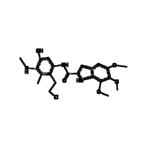 CNc1c(O)cc(NC(=O)c2cc3cc(OC)c(OC)c(OC)c3[nH]2)c(CCCl)c1C